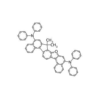 CC1(C)c2cc(N(c3ccccc3)c3ccccc3)c3ccccc3c2-c2ccc3c(oc4cc(N(c5ccccc5)c5ccccc5)c5ccccc5c43)c21